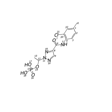 Cc1ccc(NC(=O)c2cnn(C(C)OP(=O)(O)O)n2)c(Cl)c1